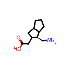 NC[C@H]1C(CC(=O)O)CC2CCCC21